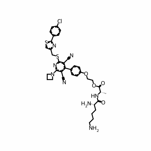 C[C@H](NC(=O)[C@@H](N)CCCCN)C(=O)OCCOc1ccc(-c2c(C#N)c(SCc3csc(-c4ccc(Cl)cc4)n3)nc(N3CCC3)c2C#N)cc1